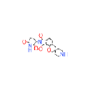 O=C1CCC(N2C(=O)c3ccc4c(c3C2=O)OCC2(CCNCC2)C4)C(=O)N1